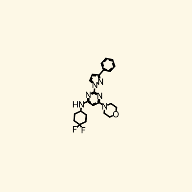 FC1(F)CCC(Nc2cc(N3CCOCC3)nc(-n3ccc(-c4ccccc4)n3)n2)CC1